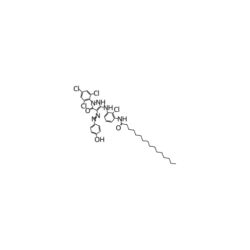 CCCCCCCCCCCCCCCC(=O)Nc1cccc(Nc2[nH]n(-c3c(Cl)cc(Cl)cc3Cl)c(=O)c2N=Nc2ccc(O)cc2)c1Cl